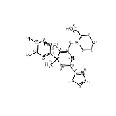 CCOC(=O)C1=C(CN2CCOCC2C(=O)O)NC(c2nccs2)=NC1(C)c1ccc(F)c(F)c1